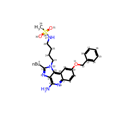 CCCCc1nc2c(N)nc3ccc(OCc4ccccc4)cc3c2n1CCCCNS(C)(=O)=O